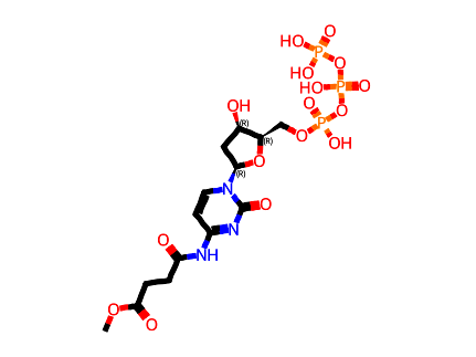 COC(=O)CCC(=O)Nc1ccn([C@H]2C[C@@H](O)[C@@H](COP(=O)(O)OP(=O)(O)OP(=O)(O)O)O2)c(=O)n1